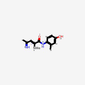 CN/C(=C\C(C)=N)C(=O)Nc1ccc(O)cc1C